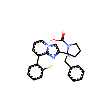 O=C(O)N1CCC[C@]1(Cc1ccccc1)c1cn2cccc(-c3ccccc3F)c2n1